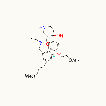 COCCCc1cc(CN(C(=O)C2CNCC[C@]2(O)c2ccc(F)cc2)C2CC2)cc(OCCOC)c1